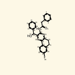 O=C(Cc1ccccc1)Nc1nc2c(nc1C(O)c1ccccc1)-c1ccc(F)cc1CC2